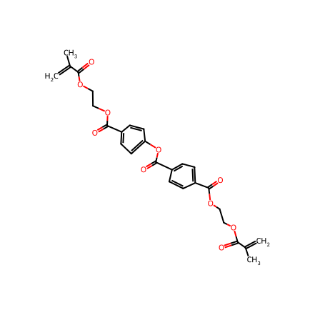 C=C(C)C(=O)OCCOC(=O)c1ccc(OC(=O)c2ccc(C(=O)OCCOC(=O)C(=C)C)cc2)cc1